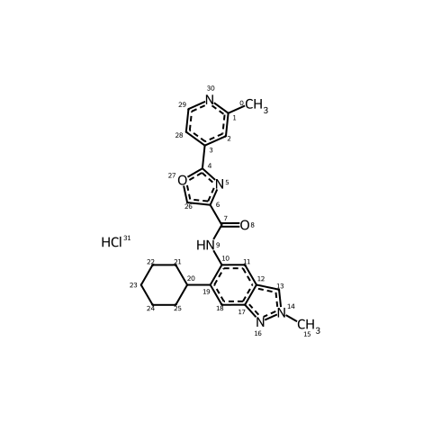 Cc1cc(-c2nc(C(=O)Nc3cc4cn(C)nc4cc3C3CCCCC3)co2)ccn1.Cl